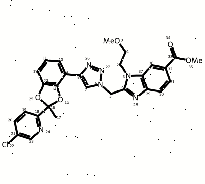 COCCn1c(Cn2cc(-c3cccc4c3OC(C)(c3ccc(Cl)cn3)O4)nn2)nc2ccc(C(=O)OC)cc21